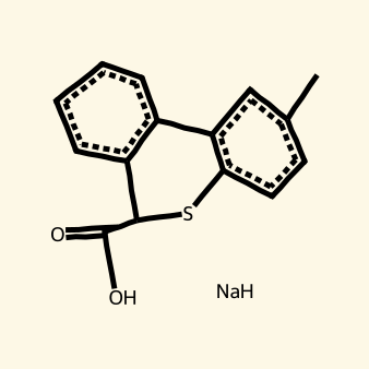 Cc1ccc2c(c1)-c1ccccc1C(C(=O)O)S2.[NaH]